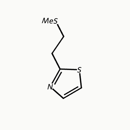 [CH2]SCCc1nccs1